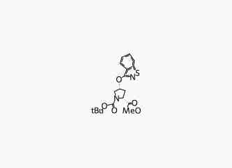 COC(=O)[C@H]1C[C@@H](Oc2nsc3ccccc23)CN1C(=O)OC(C)(C)C